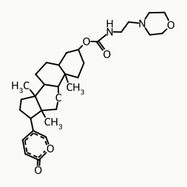 CC12CCC(OC(=O)NCCN3CCOCC3)CC1CCC1C2CCC2(C)C(c3ccc(=O)oc3)CCC12C